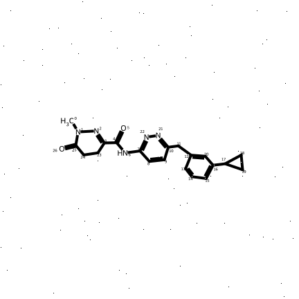 CN1N=C(C(=O)Nc2ccc(Cc3cccc(C4CC4)c3)nn2)CCC1=O